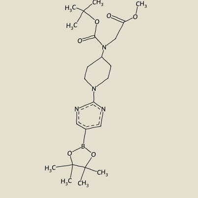 COC(=O)CN(C(=O)OC(C)(C)C)C1CCN(c2ncc(B3OC(C)(C)C(C)(C)O3)cn2)CC1